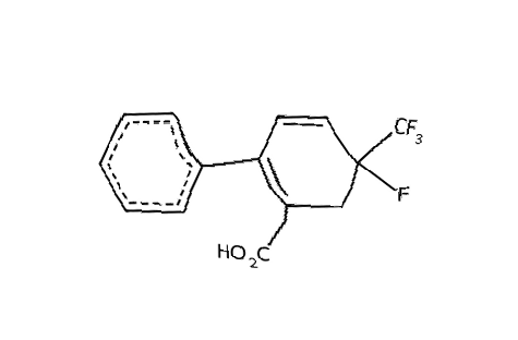 O=C(O)C1=C(c2ccccc2)C=CC(F)(C(F)(F)F)C1